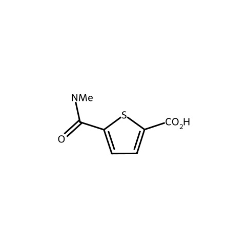 CNC(=O)c1ccc(C(=O)O)s1